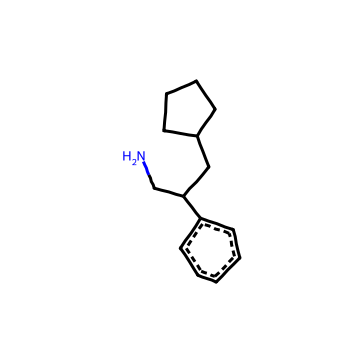 NCC(CC1CCCC1)c1ccccc1